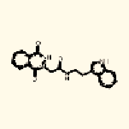 O=C(Cn1[nH]c(=O)c2ccccc2c1=O)NCCc1c[nH]c2ccccc12